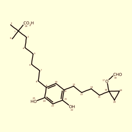 CC(C)(CCCCCCc1cc(CCCCC2(OC=O)CC2)c(O)cc1O)C(=O)O